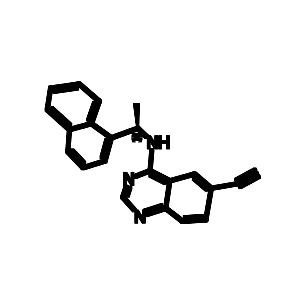 C#Cc1ccc2ncnc(N[C@H](C)c3cccc4ccccc34)c2c1